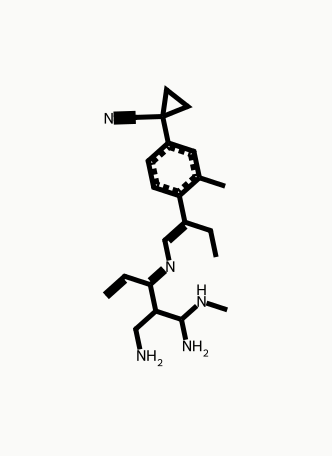 C=C/C(=N\C=C(/CC)c1ccc(C2(C#N)CC2)cc1C)C(CN)C(N)NC